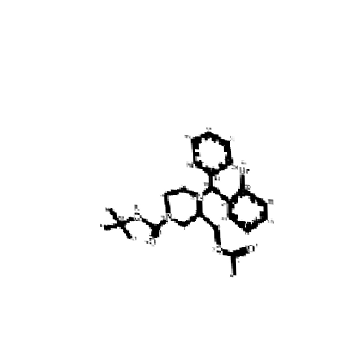 CC(=O)OCC1CN(C(=O)OC(C)(C)C)CCN1C(c1ccccc1)c1ccccc1Br